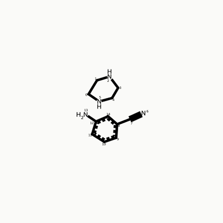 C1CNCCN1.N#Cc1cccc(N)c1